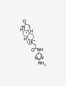 CN1C(=O)C=C[C@]2(C)[C@H]3CC[C@]4(C)[C@@H](CC(=O)Nc5cnc(N)nc5)CC[C@H]4[C@@H]3CC[C@@H]12